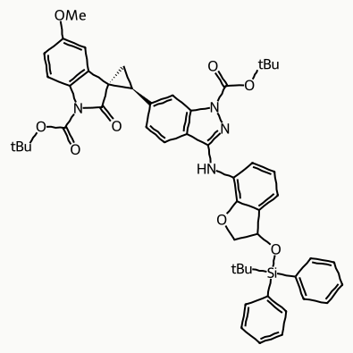 COc1ccc2c(c1)[C@]1(C[C@H]1c1ccc3c(Nc4cccc5c4OCC5O[Si](c4ccccc4)(c4ccccc4)C(C)(C)C)nn(C(=O)OC(C)(C)C)c3c1)C(=O)N2C(=O)OC(C)(C)C